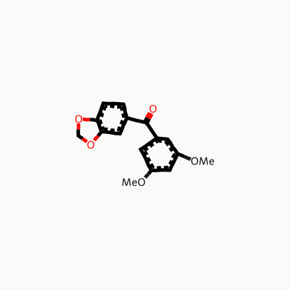 COc1cc(OC)cc(C(=O)c2ccc3c(c2)OCO3)c1